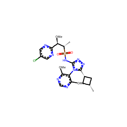 COc1ncnc(OC)c1-n1c(NS(=O)(=O)[C@@H](C)[C@H](OC)c2ncc(Cl)cn2)nnc1[C@H]1C[C@@H](C)C1